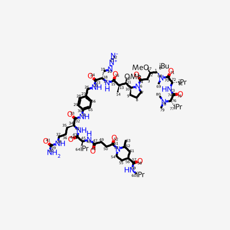 CC[C@H](C)[C@@H]([C@@H](CC(=O)N1CCC[C@H]1[C@H](OC)[C@@H](C)C(=O)N[C@@H](CN=[N+]=[N-])C(=O)NCc1ccc(NC(=O)[C@H](CCCNC(N)=O)NC(=O)[C@@H](NC(=O)CCC(=O)N2CCC(C(=O)NC(C)C)CC2C)C(C)C)cc1)OC)N(C)C(=O)[C@@H](NC(=O)[C@H](C(C)C)N(C)C)C(C)C